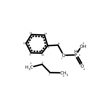 CCCC.O=[PH](O)OCc1ccccc1